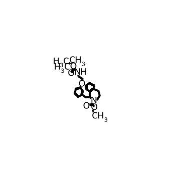 CCOC(=O)N1CCCc2ccc(OCCNC(=O)OC(C)(C)C)cc2C1Cc1ccccc1